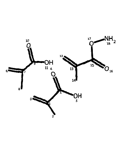 C=C(C)C(=O)O.C=C(C)C(=O)O.C=C(C)C(=O)ON